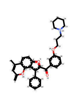 C=C1C=C(C)c2ccc3oc(C(=O)c4cccc(OCCCN5CCCCC5)c4)c(-c4ccccc4)c3c2O1